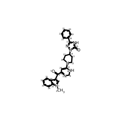 Cn1cc(C(=O)C2=NCNC(N3CCC(n4nc(-c5ccccc5)[nH]c4=O)CC3)=C2)c2ccccc21